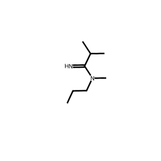 CCCN(C)C(=N)C(C)C